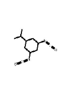 CC(C)C1CC(N=C=O)CC(N=C=O)C1